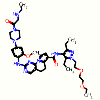 CCNCC(=O)N1CCN(c2ccc(Nc3ncc4c(n3)-n3ccc(C(=O)Nc5c(CC)nn(CCOCCOCC)c5CC)c3CC4)c(OC)c2)CC1